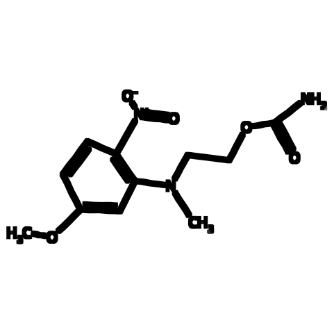 COc1ccc([N+](=O)[O-])c(N(C)CCOC(N)=O)c1